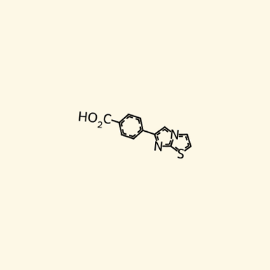 O=C(O)c1ccc(-c2cn3ccsc3n2)cc1